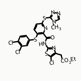 CCOC(=O)Cc1nc(NC(=O)c2nc(Sc3nncn3C)ccc2Sc2ccc(Cl)c(Cl)c2)sc1Cl